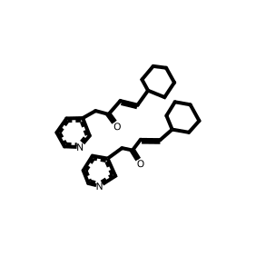 O=C(C=CC1CCCCC1)Cc1cccnc1.O=C(C=CC1CCCCC1)Cc1cccnc1